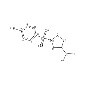 CC(C)C1CCN(S(=O)(=O)c2ccc(F)cc2)C1